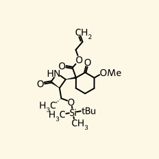 C=CCOC(=O)C1([C@@H]2NC(=O)[C@@H]2[C@@H](C)O[Si](C)(C)C(C)(C)C)CCCC(OC)C1=O